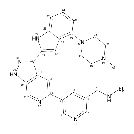 CCNCc1cncc(-c2cc3c(-c4cc5c(N6CCN(C)CC6)cccc5[nH]4)n[nH]c3cn2)c1